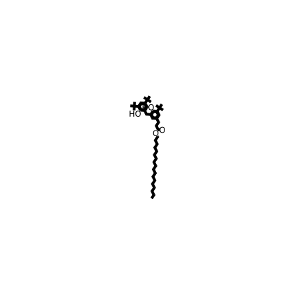 CCCCCCCCCCCCCCCCCCOC(=O)CCc1cc(Cc2cc(C(C)(C)C)cc(C(C)(C)C)c2O)c(O)c(C(C)(C)C)c1